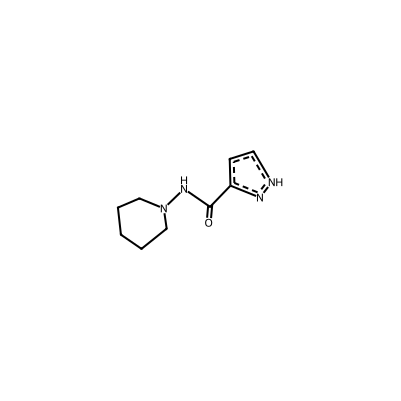 O=C(NN1CCCCC1)c1cc[nH]n1